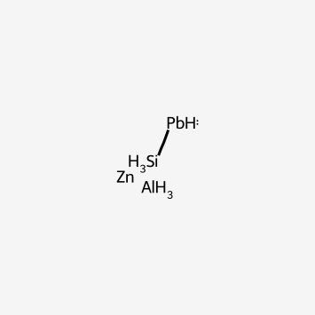 [AlH3].[SiH3][PbH].[Zn]